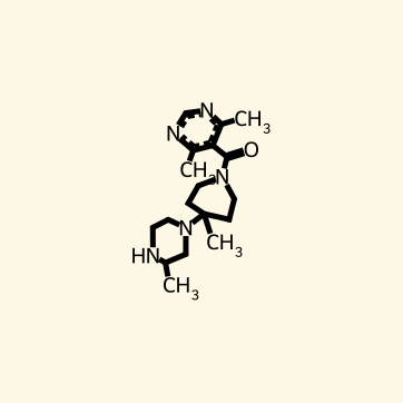 Cc1ncnc(C)c1C(=O)N1CCC(C)(N2CCNC(C)C2)CC1